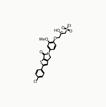 CCS(=O)(=O)C[C@H](O)COc1ccc(N2Cc3cc(-c4ccc(Cl)cc4)sc3C2=O)cc1OC